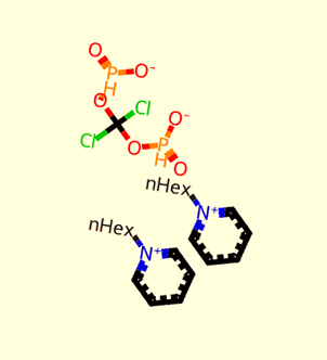 CCCCCC[n+]1ccccc1.CCCCCC[n+]1ccccc1.O=[PH]([O-])OC(Cl)(Cl)O[PH](=O)[O-]